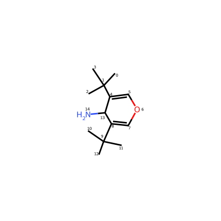 CC(C)(C)C1=COC=C(C(C)(C)C)C1N